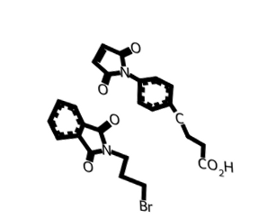 O=C(O)CCCc1ccc(N2C(=O)C=CC2=O)cc1.O=C1c2ccccc2C(=O)N1CCCBr